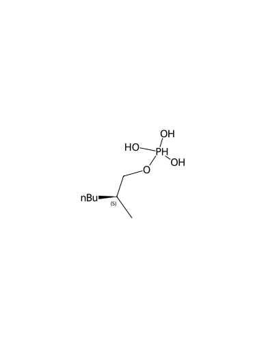 CCCC[C@H](C)CO[PH](O)(O)O